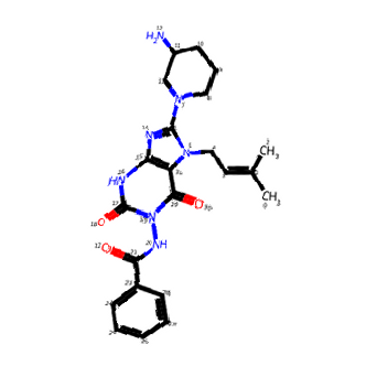 CC(C)=CCn1c(N2CCCC(N)C2)nc2[nH]c(=O)n(NC(=O)c3ccccc3)c(=O)c21